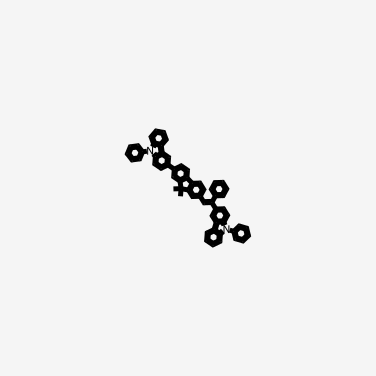 CC1(C)c2cc(/C=C(\c3ccccc3)c3ccc4c(c3)c3ccccc3n4-c3ccccc3)ccc2-c2ccc(-c3ccc4c(c3)c3ccccc3n4-c3ccccc3)cc21